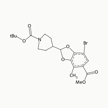 COC(=O)c1cc(Br)c2c(c1C)OC(C1CCN(C(=O)OC(C)(C)C)CC1)O2